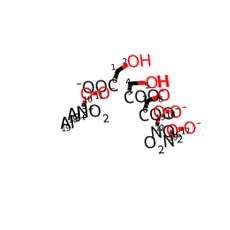 O=C([O-])CO.O=C([O-])CO.O=C([O-])CO.O=[N+]([O-])O[O-].O=[N+]([O-])O[O-].O=[N+]([O-])O[O-].[Al+3].[Al+3]